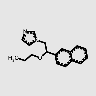 CCCOC(Cn1ccnc1)c1ccc2ccccc2c1